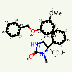 COc1ccc([C@H]2NC(=O)N(C)[C@]2(C(=O)O)c2ccccc2)c(OCc2ccccc2)c1